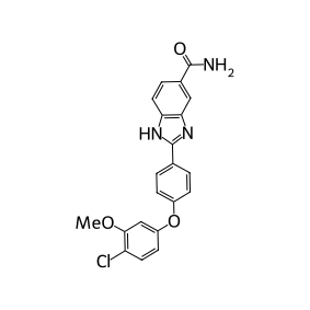 COc1cc(Oc2ccc(-c3nc4cc(C(N)=O)ccc4[nH]3)cc2)ccc1Cl